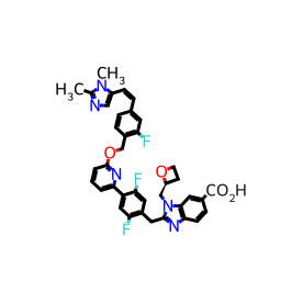 Cc1ncc(/C=C\c2ccc(COc3cccc(-c4cc(F)c(Cc5nc6ccc(C(=O)O)cc6n5C[C@@H]5CCO5)cc4F)n3)c(F)c2)n1C